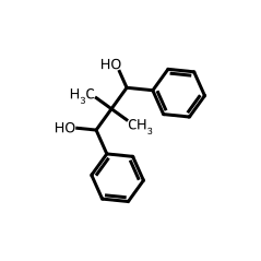 CC(C)(C(O)c1ccccc1)C(O)c1ccccc1